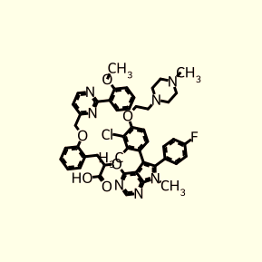 COc1ccccc1-c1nccc(COc2ccccc2CC(Oc2ncnc3c2c(-c2ccc(OCCN4CCN(C)CC4)c(Cl)c2C)c(-c2ccc(F)cc2)n3C)C(=O)O)n1